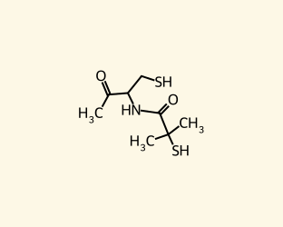 CC(=O)C(CS)NC(=O)C(C)(C)S